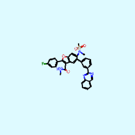 CNC(=O)c1c(-c2ccc(F)cc2)oc2cc(N(C)S(C)(=O)=O)c(-c3cccc(-c4ncc5ccccc5n4)c3)cc12